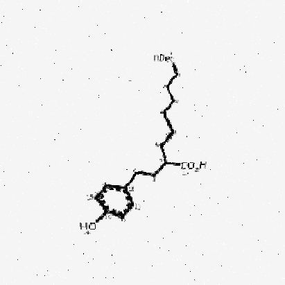 CCCCCCCCCCCCCCCCC(CCc1ccc(O)cc1)C(=O)O